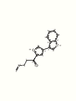 C=NCCC(=O)c1cc(-c2coc3ccccc23)co1